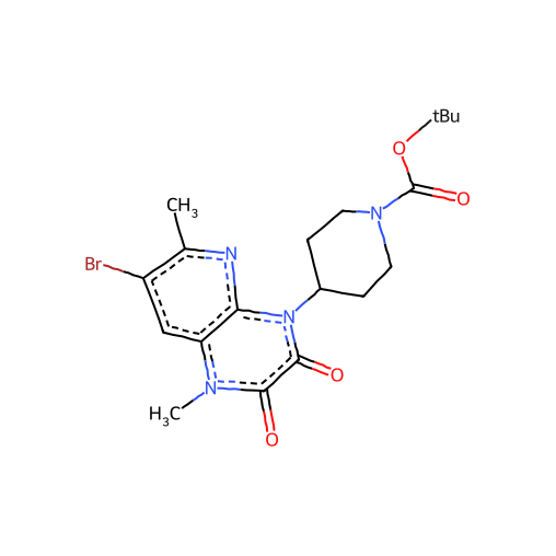 Cc1nc2c(cc1Br)n(C)c(=O)c(=O)n2C1CCN(C(=O)OC(C)(C)C)CC1